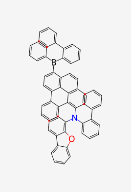 c1ccc(B(c2ccccc2-c2ccccc2)c2ccc3c4ccccc4c4c(N(c5ccccc5-c5ccccc5)c5cccc6c5oc5ccccc56)ccc5ccc2c3c54)cc1